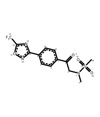 CN(CC(=O)c1ccc(-c2noc(C(F)(F)F)n2)cc1)S(C)(=O)=O